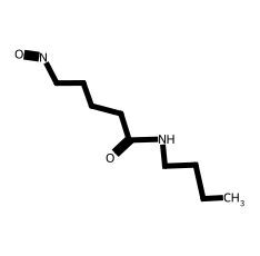 CCCCNC(=O)CCCCN=O